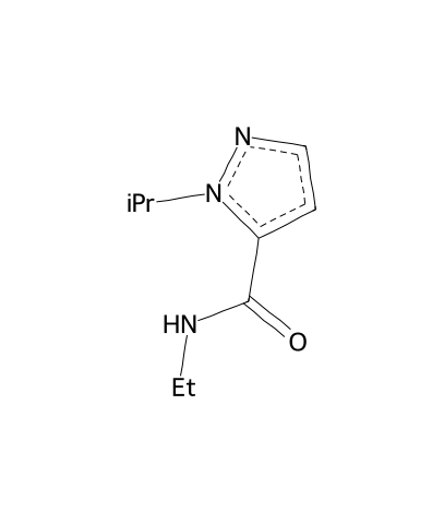 CCNC(=O)c1ccnn1C(C)C